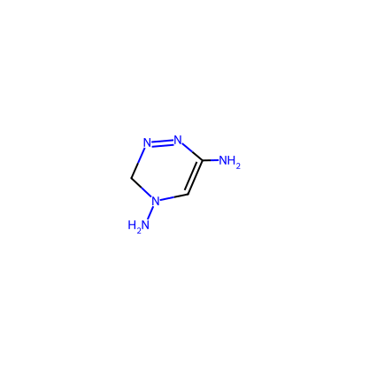 NC1=CN(N)CN=N1